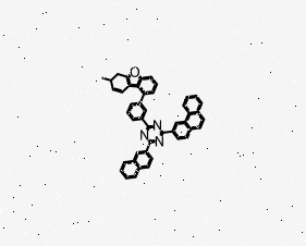 CC1C=Cc2c(oc3cccc(-c4cccc(-c5nc(-c6ccc7ccccc7c6)nc(-c6ccc7ccc8ccccc8c7c6)n5)c4)c23)C1